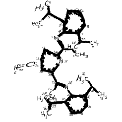 CCC(=Nc1c(C(C)C)cccc1C(C)C)c1cccc(C(CC)=Nc2c(C(C)C)cccc2C(C)C)n1.[Cl-].[Cl-].[Fe+2]